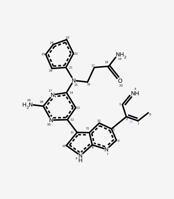 C/C=C(\C=N)c1cnc2[nH]cc(-c3cc(N(CCC(N)=O)c4ccccc4)nc(N)n3)c2c1